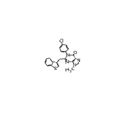 Cn1cnc2c(=O)n(-c3ccc(Cl)cc3)c(Cc3csc4ccccc34)nc21